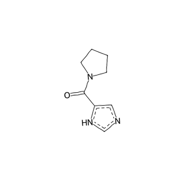 O=C(c1cnc[nH]1)N1CCCC1